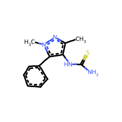 Cc1nn(C)c(-c2ccccc2)c1NC(N)=S